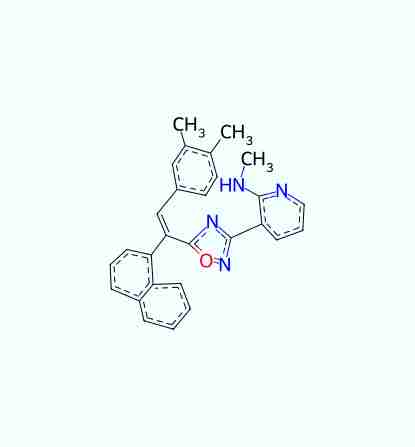 CNc1ncccc1-c1noc(C(=Cc2ccc(C)c(C)c2)c2cccc3ccccc23)n1